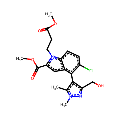 COC(=O)CCn1c(C(=O)OC)cc2c(-c3c(CO)nn(C)c3C)c(Cl)ccc21